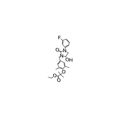 CCOC(=O)C(C)(C)Oc1c(C)cc(CN2C(=O)N(c3cccc(F)c3)CC2O)cc1C